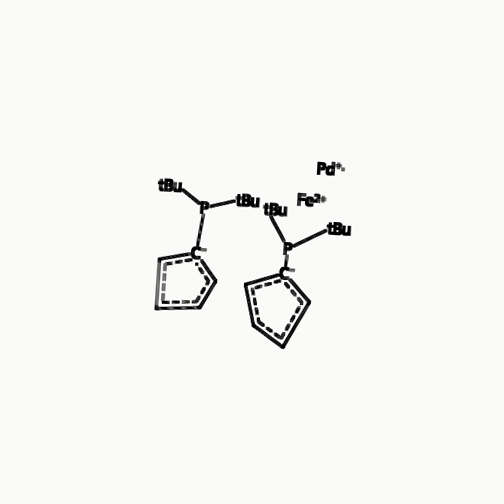 CC(C)(C)P([c-]1cccc1)C(C)(C)C.CC(C)(C)P([c-]1cccc1)C(C)(C)C.[Fe+2].[Pd+]